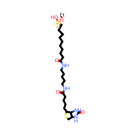 CCO[PH](O)(F)CCCCCCCCCC(=O)NCCCCCNC(=O)CCCCC1SCC2NC(=O)NC21